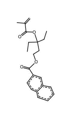 C=C(C)C(=O)OC(CC)(CC)CCOC(=O)c1ccc2ccccc2c1